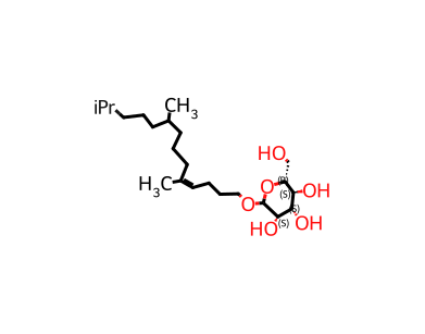 CC(=CCCCOC1O[C@H](CO)[C@@H](O)[C@H](O)[C@@H]1O)CCCC(C)CCCC(C)C